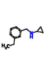 CCc1cccc(CNC2CC2)c1